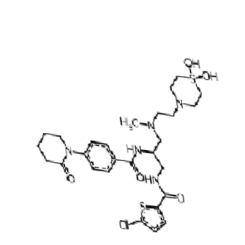 CN(CCN1CCS(O)(O)CC1)CC(CNC(=O)c1ccc(Cl)s1)NC(=O)c1ccc(N2CCCCC2=O)cc1